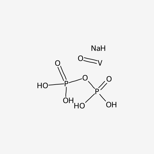 O=P(O)(O)OP(=O)(O)O.[NaH].[O]=[V]